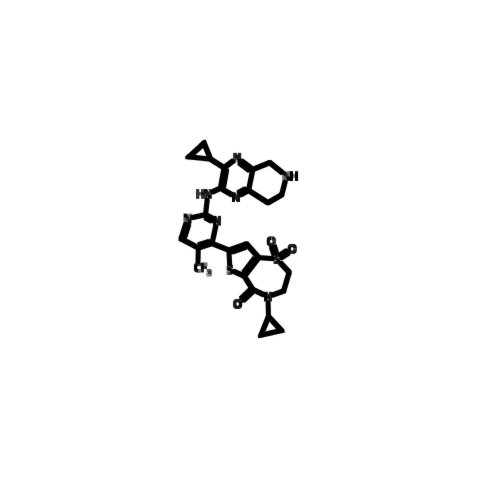 O=C1c2sc(-c3nc(Nc4nc5c(nc4C4CC4)CNCC5)ncc3C(F)(F)F)cc2S(=O)(=O)CCN1C1CC1